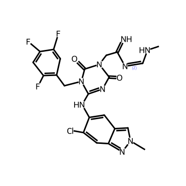 CN/C=N\C(=N)Cn1c(=O)nc(Nc2cc3cn(C)nc3cc2Cl)n(Cc2cc(F)c(F)cc2F)c1=O